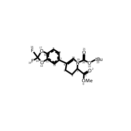 COC(=O)C1CCC(c2ccc3c(c2)OC(F)(F)O3)=CN1C(=O)OC(C)(C)C